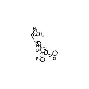 CC1(C)OCC(Cn2ccc(NC(=O)C(Cc3ccccc3F)N3CC(Oc4ccccc4Cl)=CC3=O)n2)O1